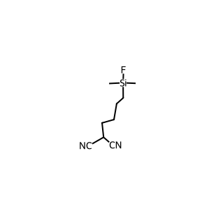 C[Si](C)(F)CCCCC(C#N)C#N